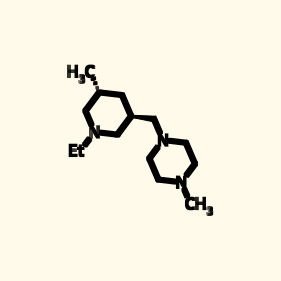 CCN1C[C@H](C)C[C@@H](CN2CCN(C)CC2)C1